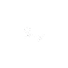 c1ccc(-c2nc(-c3ccc(-c4ccc5c(c4)nc(-c4ccccc4)c4ccc6c(c45)-c4ccccc4C64c5ccccc5Sc5ccccc54)cc3)c3ccccc3n2)cc1